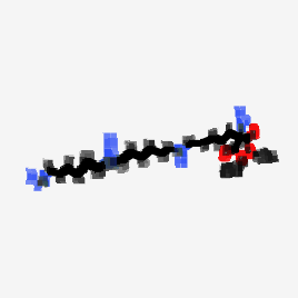 CC(C)(C)OC(=O)C(N)(CCCCCNCCCCCCNCCCCCCN)C(=O)OC(C)(C)C